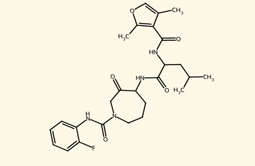 Cc1coc(C)c1C(=O)NC(CC(C)C)C(=O)NC1CCCN(C(=O)Nc2ccccc2F)CC1=O